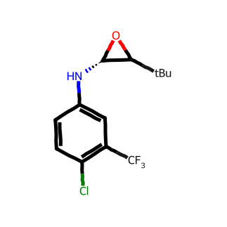 CC(C)(C)[C]1O[C@H]1Nc1ccc(Cl)c(C(F)(F)F)c1